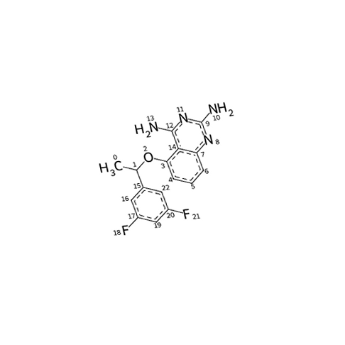 CC(Oc1cccc2nc(N)nc(N)c12)c1cc(F)cc(F)c1